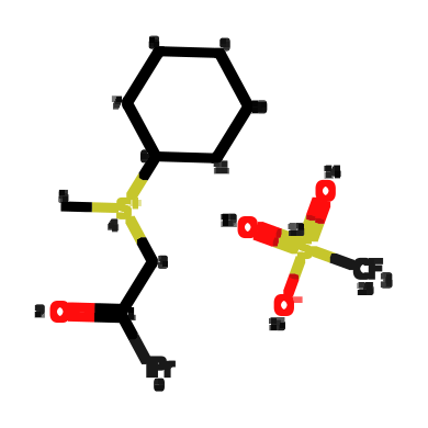 CC(C)C(=O)C[S+](C)C1CCCCC1.O=S(=O)([O-])C(F)(F)F